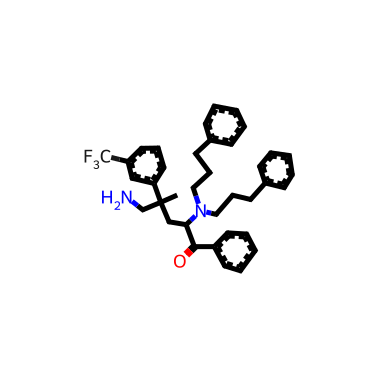 CC(CN)(CC(C(=O)c1ccccc1)N(CCCc1ccccc1)CCCc1ccccc1)c1cccc(C(F)(F)F)c1